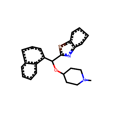 CN1CCC(OC(c2nc3ccccc3s2)c2cccc3ccccc23)CC1